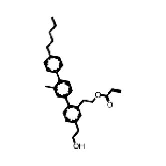 C=CC(=O)OCCc1cc(CCO)ccc1-c1ccc(-c2ccc(CCCCC)cc2)c(C)c1